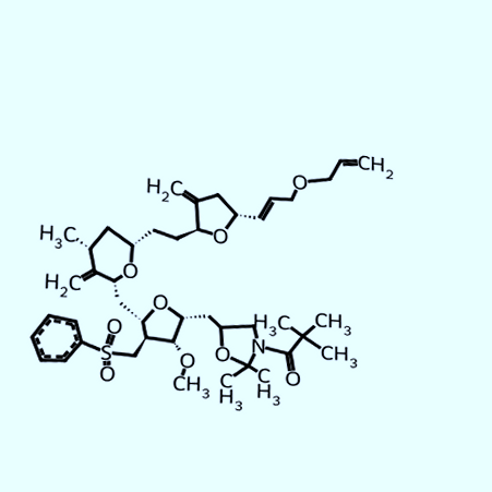 C=CCOC/C=C/[C@H]1CC(=C)[C@H](CC[C@H]2C[C@@H](C)C(=C)[C@@H](C[C@@H]3O[C@H](CC4CN(C(=O)C(C)(C)C)C(C)(C)O4)[C@H](OC)[C@H]3CS(=O)(=O)c3ccccc3)O2)O1